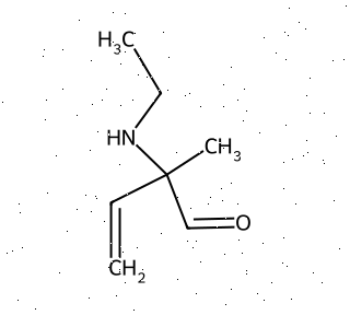 C=CC(C)(C=O)NCC